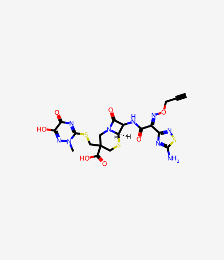 C#CCON=C(C(=O)NC1C(=O)N2CC(CSc3nc(=O)c(O)nn3C)(C(=O)O)CS[C@H]12)c1nsc(N)n1